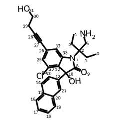 CCC(CC)(CN)N1C(=O)C(O)(c2ccc3ccccc3c2)c2c(Cl)cc(C#CCCO)cc21